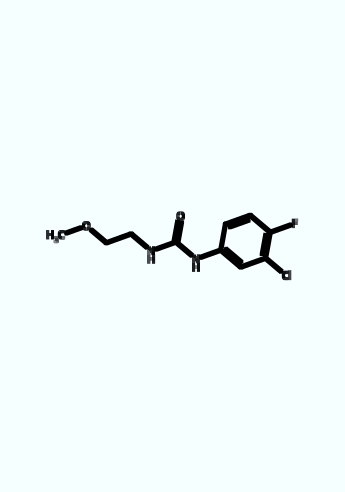 COCCNC(=O)Nc1ccc(F)c(Cl)c1